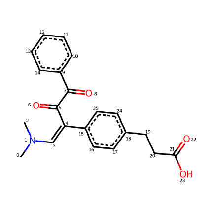 CN(C)/C=C(\C(=O)C(=O)c1ccccc1)c1ccc(CCC(=O)O)cc1